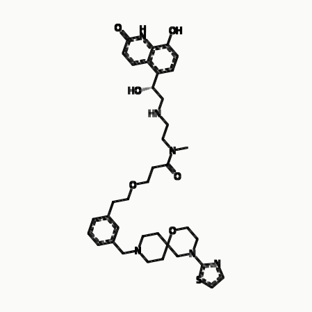 CN(CCNC[C@H](O)c1ccc(O)c2[nH]c(=O)ccc12)C(=O)CCOCCc1cccc(CN2CCC3(CC2)CN(c2nccs2)CCO3)c1